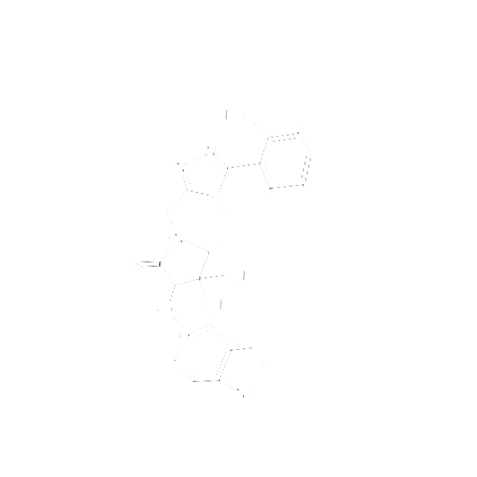 [C-]#[N+]c1ccc(OC2C(=O)N(Cc3nnc(-c4ccccc4C)o3)CC2(C)C)cc1C(F)(F)F